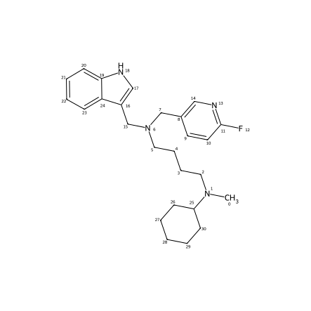 CN(CCCCN(Cc1ccc(F)nc1)Cc1c[nH]c2ccccc12)C1CCCCC1